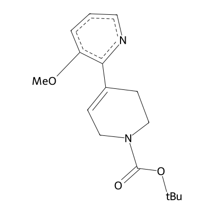 COc1cccnc1C1=CCN(C(=O)OC(C)(C)C)CC1